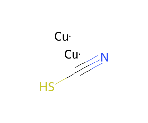 N#CS.[Cu].[Cu]